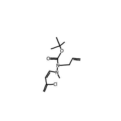 C=CCN(C(=O)OC(C)(C)C)N(C)/C=C\C(=C)Cl